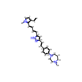 C=Cc1ccn(C)c1/C=C/C=C/c1cc(/C=C/c2ccc(N3CCCN(C)CC3)cc2)n[nH]1